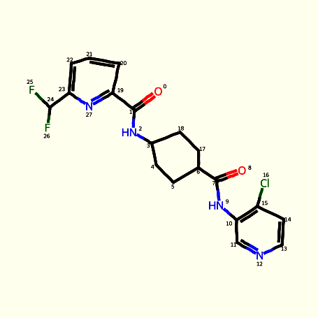 O=C(NC1CCC(C(=O)Nc2cnccc2Cl)CC1)c1cccc(C(F)F)n1